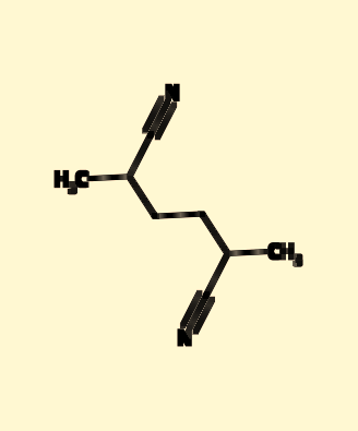 CC(C#N)CCC(C)C#N